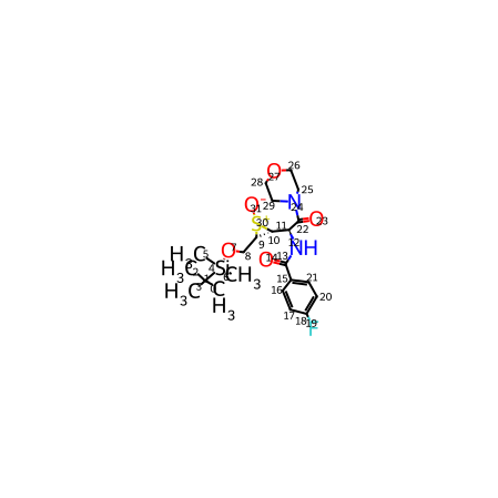 CC(C)(C)[Si](C)(C)OCC1[C@@H]([C@H](NC(=O)c2ccc(F)cc2)C(=O)N2CCOCC2)[S+]1[O-]